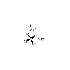 O=S(=O)([O-])[O-].[Cl-].[Cl-].[Mg+2].[Mg+2]